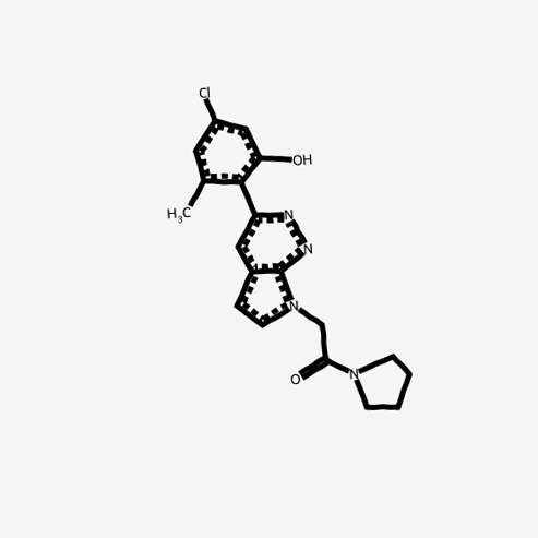 Cc1cc(Cl)cc(O)c1-c1cc2ccn(CC(=O)N3CCCC3)c2nn1